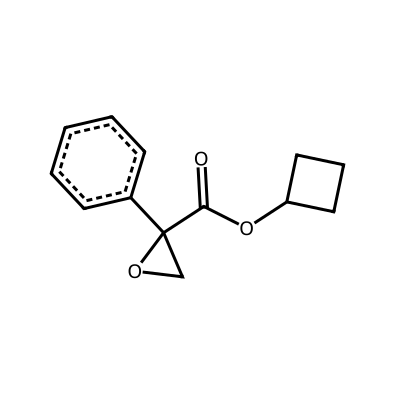 O=C(OC1CCC1)C1(c2ccccc2)CO1